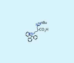 CCCCn1cnc(C[C@H](CCCNC(c2ccccc2)(c2ccccc2)c2ccccc2)C(=O)O)c1